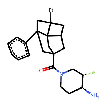 CCC12CC3CC4(C(=O)N5CC[C@H](N)[C@@H](F)C5)CC(c5ccccc5)(C1)C32C4